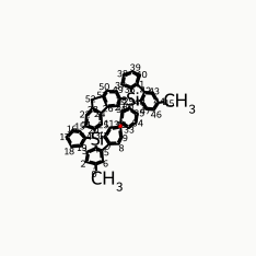 Cc1ccc2c(c1)-c1ccccc1[Si]2(c1ccccc1)c1ccc2c(c1)-c1cc([Si]3(c4ccccc4)c4ccccc4-c4cc(C)ccc43)ccc1C2